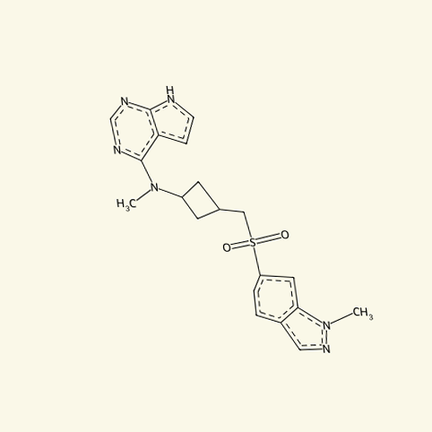 CN(c1ncnc2[nH]ccc12)C1CC(CS(=O)(=O)c2ccc3cnn(C)c3c2)C1